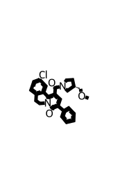 COC[C@H]1CCN(C(=O)c2cc(-c3ccccc3)c(=O)n3c2-c2cc(Cl)ccc2CC3)C1